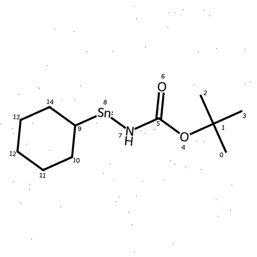 CC(C)(C)OC(=O)[NH][Sn][CH]1CCCCC1